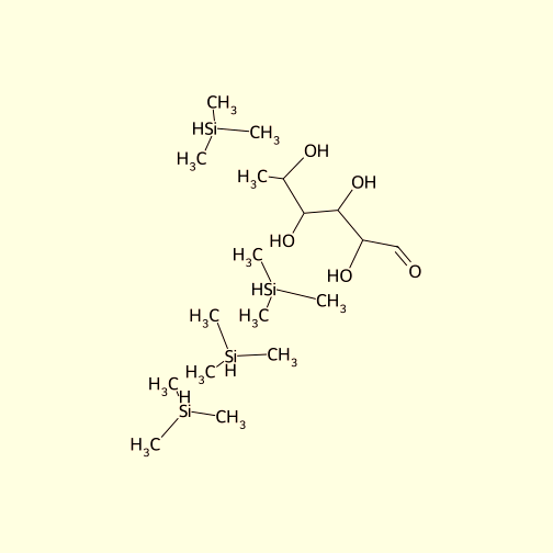 CC(O)C(O)C(O)C(O)C=O.C[SiH](C)C.C[SiH](C)C.C[SiH](C)C.C[SiH](C)C